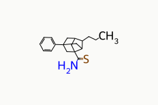 CCCC1C2CC3(c4ccccc4)CC1C(C(N)=S)(C2)C3